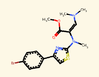 COC(=O)C(=CN(C)C)N(C)c1nc(-c2ccc(Br)cc2)cs1